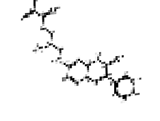 C=C(C)C(=O)CCC(O)COC1=CC2SC(=S)C(c3ccccc3)=CC2C=C1